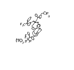 O=C(OCC1(C(=O)OCC(F)(F)F)COC2(OC1)C1CC3CC2CC(OC(=O)C(F)(F)S(=O)(=O)O)(C3)C1)C(F)(F)F